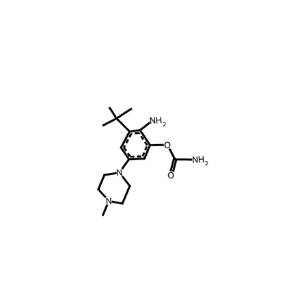 CN1CCN(c2cc(OC(N)=O)c(N)c(C(C)(C)C)c2)CC1